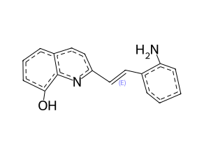 Nc1ccccc1/C=C/c1ccc2cccc(O)c2n1